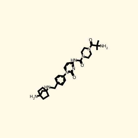 CC(C)(N)C(=O)N1CCN(C(=O)Nc2ccn(-c3ccc(CNC45CCC(N)(CC4)C5)cc3)c(=O)n2)CC1